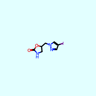 O=C1NCC(Cn2cc(I)cn2)O1